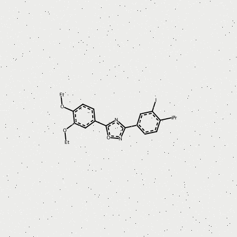 CCOc1ccc(-c2nc(-c3ccc(C(C)C)c(I)c3)no2)cc1OCC